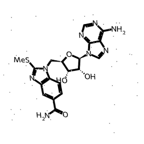 CSc1nc2cc(C(N)=O)ccc2n1C[C@H]1O[C@@H](n2cnc3c(N)ncnc32)[C@H](O)[C@@H]1O